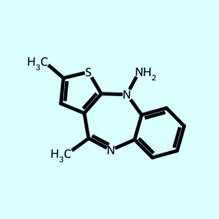 CC1=Nc2ccccc2N(N)c2sc(C)cc21